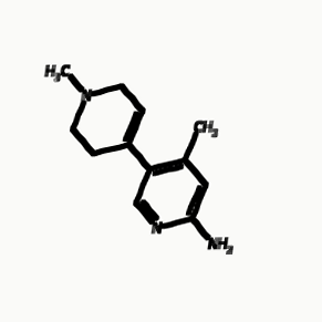 Cc1cc(N)ncc1C1=CCN(C)CC1